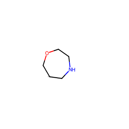 [CH]1CNCCOC1